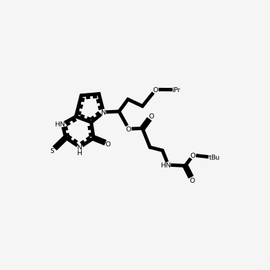 CC(C)OCCC(OC(=O)CCNC(=O)OC(C)(C)C)n1ccc2[nH]c(=S)[nH]c(=O)c21